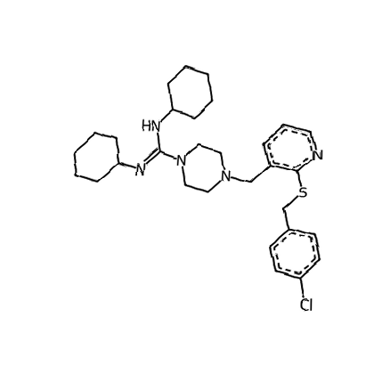 Clc1ccc(CSc2ncccc2CN2CCN(/C(=N/C3CCCCC3)NC3CCCCC3)CC2)cc1